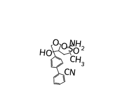 CC(CC1COCC1(O)c1ccc(-c2ccccc2C#N)cc1)S(N)(=O)=O